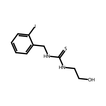 OCCNC(=S)NCc1ccccc1I